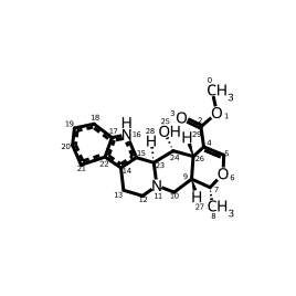 COC(=O)C1=CO[C@H](C)[C@@H]2CN3CCc4c([nH]c5ccccc45)[C@H]3[C@H](O)[C@H]12